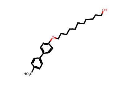 O=C(O)c1ccc(-c2ccc(OCCCCCCCCCCCO)cc2)cc1